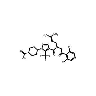 CC(C)=CCN(CC(=O)c1c(Cl)cncc1Cl)C(=O)c1cnn([C@H]2CC[C@H](C(=O)O)CC2)c1C(F)(F)F